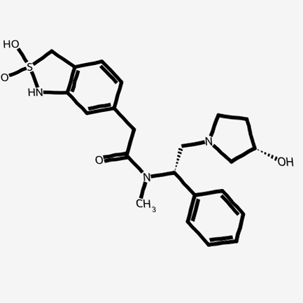 CN(C(=O)Cc1ccc2c(c1)NS(O)(O)C2)[C@H](CN1CC[C@H](O)C1)c1ccccc1